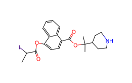 CC(I)C(=O)Oc1ccc(C(=O)OC(C)(C)C2CCNCC2)c2ccccc12